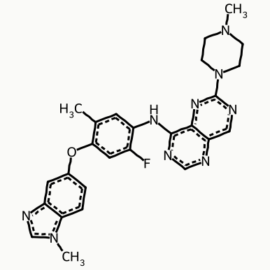 Cc1cc(Nc2ncnc3cnc(N4CCN(C)CC4)nc23)c(F)cc1Oc1ccc2c(c1)ncn2C